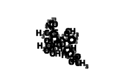 COc1ccccc1C(Cn1c(=O)n(C(C)(C)C(=O)O)c(=O)c2c(C)c(-c3ncco3)sc21)O[C@@H]1C[C@@H]2C[C@@H](S(C)(=O)=O)C[C@@H]2C1